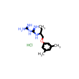 CCC(COc1cc(C)cc(C)c1)NC(=N)NC(=N)N.Cl